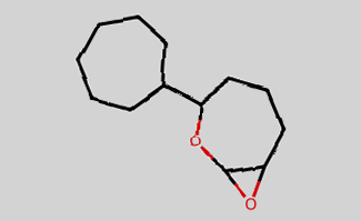 C1CCCC(C2CCCC3OC3O2)CC1